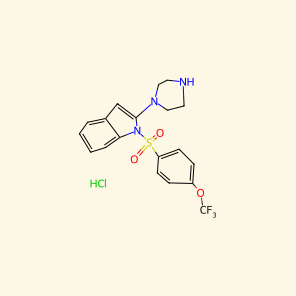 Cl.O=S(=O)(c1ccc(OC(F)(F)F)cc1)n1c(N2CCNCC2)cc2ccccc21